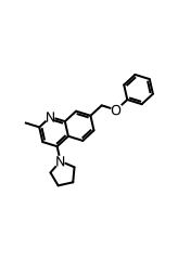 Cc1cc(N2CCCC2)c2ccc(COc3ccccc3)cc2n1